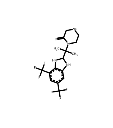 CC(C)(C1Nc2cc(C(F)(F)F)cc(C(F)(F)F)c2N1)N1CCNCC1=O